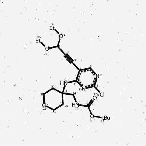 CCOC(C#Cc1cnc(Cl)nc1NC1(CNC(=O)OC(C)(C)C)CCOCC1)OCC